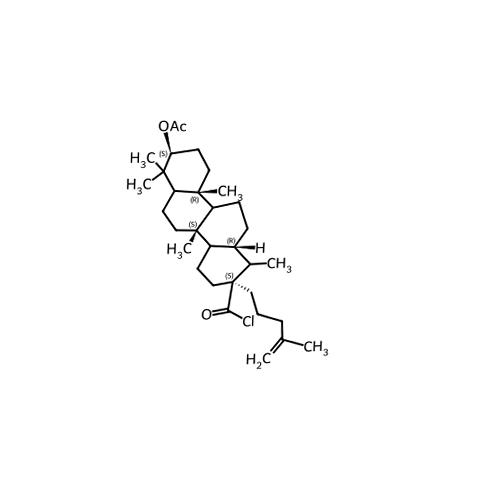 C=C(C)CCC[C@]1(C(=O)Cl)CCC2[C@H](CCC3[C@@]2(C)CCC2C(C)(C)[C@@H](OC(C)=O)CC[C@@]23C)C1C